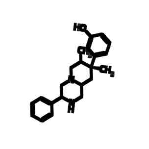 CC1CN2CC(c3ccccc3)NCC2C[C@@]1(C)c1cccc(O)c1